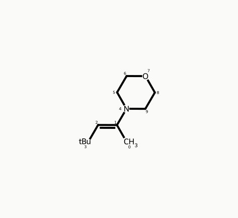 C/C(=C\C(C)(C)C)N1CCOCC1